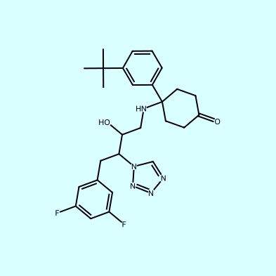 CC(C)(C)c1cccc(C2(NCC(O)C(Cc3cc(F)cc(F)c3)n3cnnn3)CCC(=O)CC2)c1